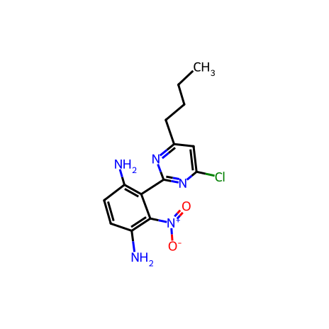 CCCCc1cc(Cl)nc(-c2c(N)ccc(N)c2[N+](=O)[O-])n1